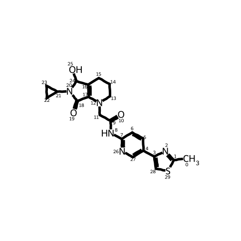 Cc1nc(-c2ccc(NC(=O)CN3CCCC4=C3C(=O)N(C3CC3)C4O)nc2)cs1